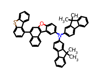 CC1(C)c2ccccc2-c2ccc(N(c3ccc4c(c3)C(C)(C)c3ccccc3-4)c3ccc4oc5cc(-c6cccc7sc8ccccc8c67)c6ccccc6c5c4c3)cc21